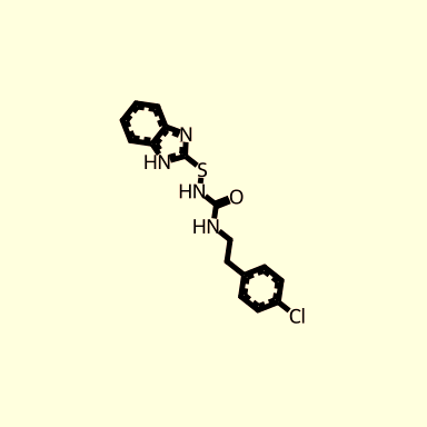 O=C(NCCc1ccc(Cl)cc1)NSc1nc2ccccc2[nH]1